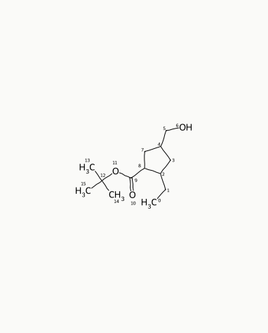 CCC1CC(CO)CC1C(=O)OC(C)(C)C